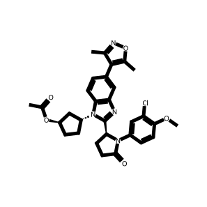 COc1ccc(N2C(=O)CC[C@H]2c2nc3cc(-c4c(C)noc4C)ccc3n2[C@@H]2CC[C@@H](OC(C)=O)C2)cc1Cl